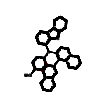 COc1ccc(N(c2ccc3ccccc3c2-c2ccc3ccccc3c2)c2cccc3c2sc2ccccc23)cc1